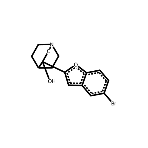 OC1(c2cc3cc(Br)ccc3o2)CN2CCC1CC2